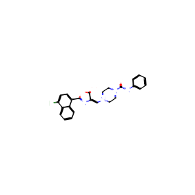 O=C1OC(c2ccc(F)c3ccccc23)=N/C1=C/N1CCN(C(=O)Nc2ccccc2)CC1